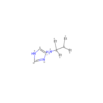 CCC(CC)C(N)(CC)CC.c1c[nH]cn1